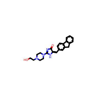 O=C1N=C(N2CCN(CCO)CC2)NC1=Cc1ccc2c(c1)Cc1ccccc1-2